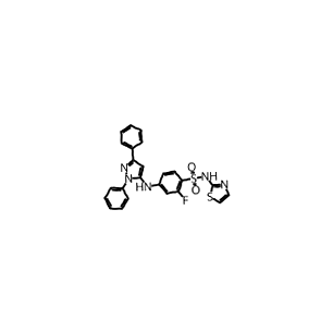 O=S(=O)(Nc1nccs1)c1ccc(Nc2cc(-c3ccccc3)nn2-c2ccccc2)cc1F